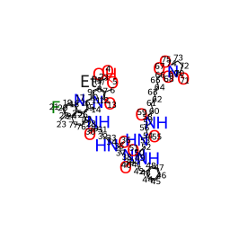 CC[C@@]1(O)C(=O)OCc2c1cc1n(c2=O)Cc2c-1nc1cc(F)c(C)c3c1c2[C@@H](NC(=O)CCCNC(=O)CNC(=O)C(Cc1ccccc1)NC(=O)CNC(=O)CNC(=O)CCCCCCC(=O)ON1C(=O)CCC1=O)CC3